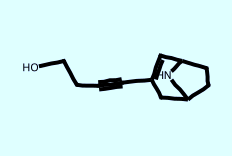 OCCC#CC1=CC2CCC(C1)N2